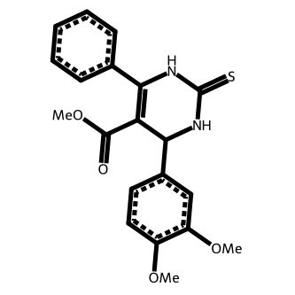 COC(=O)C1=C(c2ccccc2)NC(=S)NC1c1ccc(OC)c(OC)c1